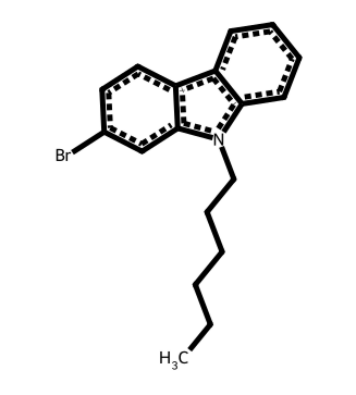 CCCCCCn1c2ccccc2c2ccc(Br)cc21